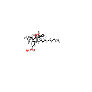 CCCCCCCCCc1c(CCC(=O)O)cc(C(C)(C)C)c(O)c1C(C)(C)C